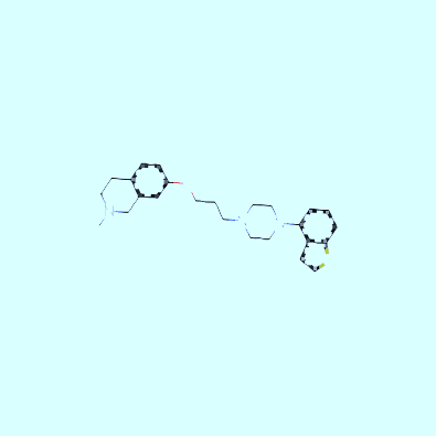 CN1CCc2ccc(OCCCN3CCN(c4cccc5sccc45)CC3)cc2C1